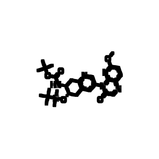 COc1ccc2ncc(=O)n(-c3cnc4c(c3)C[C@H](O[Si](C)(C)C(C)(C)C)[C@@H](NC(=O)OC(C)(C)C)C4)c2n1